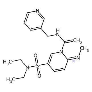 C=C(NCc1cccnc1)n1cc(S(=O)(=O)N(CC)CC)cc/c1=N/C